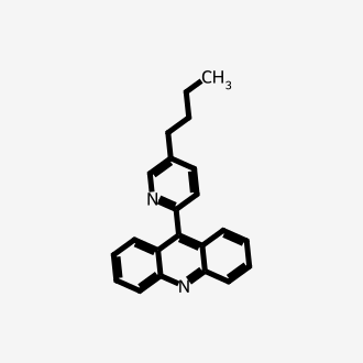 CCCCc1ccc(-c2c3ccccc3nc3ccccc23)nc1